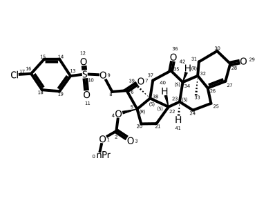 CCCOC(=O)O[C@]1(C(=O)COS(=O)(=O)c2ccc(Cl)cc2)CC[C@H]2[C@@H]3CCC4=CC(=O)CC[C@]4(C)[C@H]3C(=O)C[C@@]21C